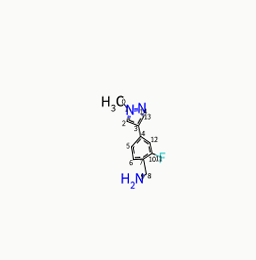 Cn1cc(-c2ccc(CN)c(F)c2)cn1